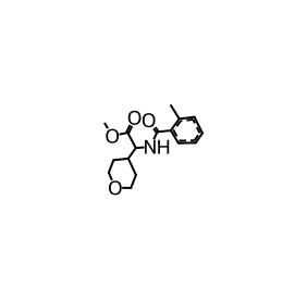 COC(=O)C(NC(=O)c1ccccc1C)C1CCOCC1